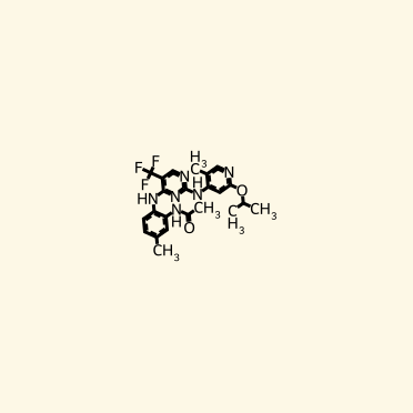 CC(=O)Nc1cc(C)ccc1Nc1nc(Nc2cc(OC(C)C)ncc2C)ncc1C(F)(F)F